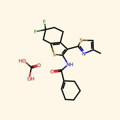 Cc1csc(-c2c(NC(=O)C3=CCCCC3)sc3c2CCC(F)(F)C3)n1.O=C(O)O